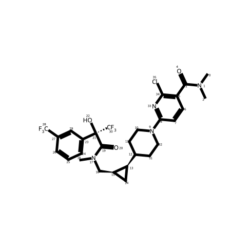 CN(C)C(=O)c1ccc(N2CCC([C@H]3C[C@H]3CN(C)C(=O)[C@](O)(c3cccc(C(F)(F)F)c3)C(F)(F)F)CC2)nc1Cl